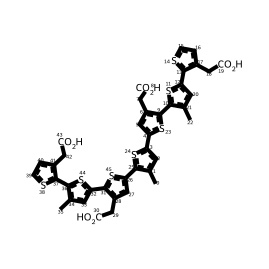 Cc1cc(-c2cc(CC(=O)O)c(-c3sc(-c4sccc4CC(=O)O)cc3C)s2)sc1-c1cc(CC(=O)O)c(-c2cc(C)c(-c3sccc3CC(=O)O)s2)s1